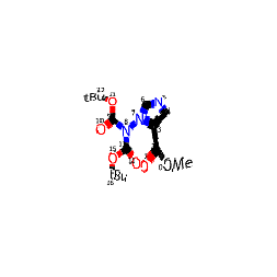 COC(=O)c1cncn1N(C(=O)OC(C)(C)C)C(=O)OC(C)(C)C